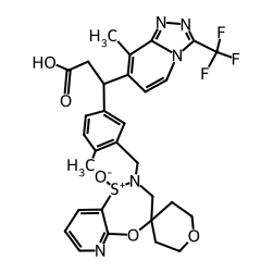 Cc1ccc(C(CC(=O)O)c2ccn3c(C(F)(F)F)nnc3c2C)cc1CN1CC2(CCOCC2)Oc2ncccc2[S+]1[O-]